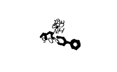 CC(C)(C)OC(=O)NC(Cc1ccsc1)C(=O)N1CCC(c2ccccc2)CC1